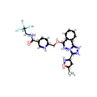 Cc1cc(-c2nnc3c4ccccc4c(OCc4ccc(C(=O)NCC(F)(F)F)cn4)nn23)no1